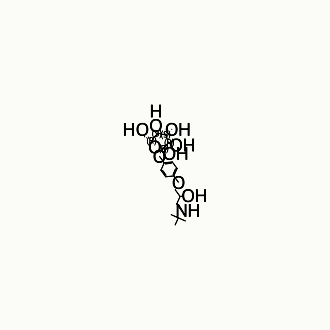 CC(C)(C)NCC(O)COc1ccc(O[C@]2(O)O[C@H](CO)[C@@H](O)[C@H](O)[C@H]2O)cc1